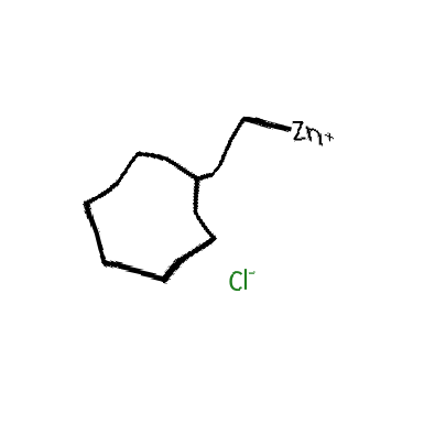 [Cl-].[Zn+][CH2]C1CCCCC1